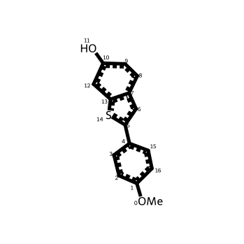 COc1ccc(-c2cc3ccc(O)cc3s2)cc1